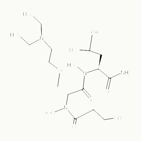 CCCC(=O)N(C)[C@H](COCCN(CC)CC)C(=O)N(C)[C@@H](CC(C)C)C(N)=O